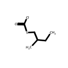 CCC(C)CSC(=O)Cl